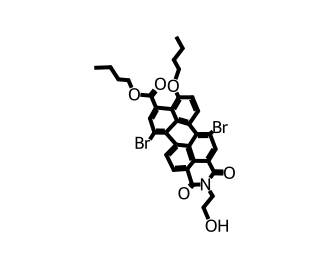 CCCCOC(=O)c1cc(Br)c2c3ccc4c5c(cc(Br)c(c6ccc(OCCCC)c1c62)c53)C(=O)N(CCO)C4=O